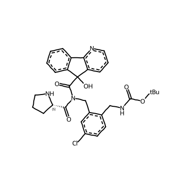 CC(C)(C)OC(=O)NCc1ccc(Cl)cc1CN(C(=O)[C@@H]1CCCN1)C(=O)C1(O)c2ccccc2-c2ncccc21